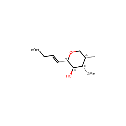 CCCCCCCCCC=C[C@@H]1OC[C@H](C)[C@H](OC)[C@H]1O